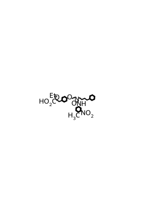 CCOC(Cc1ccc(OCCN(CCCCc2ccccc2)C(=O)Nc2ccc(C)c([N+](=O)[O-])c2)cc1)C(=O)O